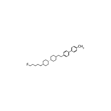 Cc1ccc(-c2ccc(CCC3CCC([C@H]4CC[C@H](CCCCCF)CC4)CC3)cc2)cc1